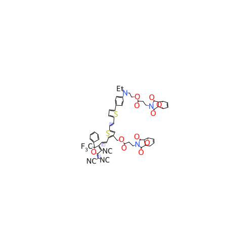 [C-]#[N+]C1=C(/C=C/c2sc(/C=C/c3ccc(-c4ccc(N(CC)CCOC(=O)CCN5C(=O)C6C7C=CC(O7)C6C5=O)cc4)s3)cc2COC(=O)CCN2C(=O)C3C4C=CC(O4)C3C2=O)C(c2ccccc2)(C(F)(F)F)O/C1=C(\C#N)[N+]#[C-]